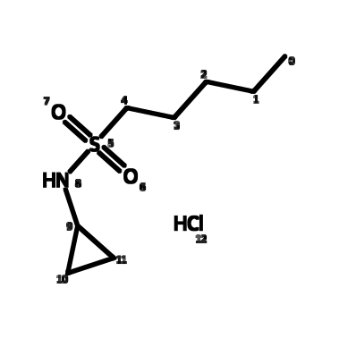 CCCCCS(=O)(=O)NC1CC1.Cl